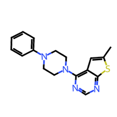 Cc1cc2c(N3CCN(c4ccccc4)CC3)ncnc2s1